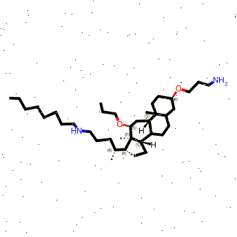 CCCCCCCCNCCC[C@@H](C)[C@H]1CC[C@H]2C3CCC4C[C@H](OCCCN)CCC4(C)[C@H]3C[C@H](OCCC)[C@]12C